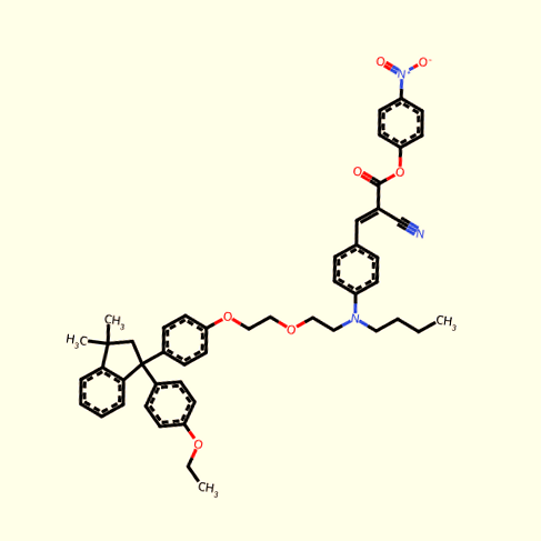 CCCCN(CCOCCOc1ccc(C2(c3ccc(OCC)cc3)CC(C)(C)c3ccccc32)cc1)c1ccc(/C=C(\C#N)C(=O)Oc2ccc([N+](=O)[O-])cc2)cc1